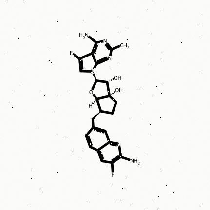 Cc1nc(N)c2c(F)cn([C@@H]3O[C@@H]4[C@H](Cc5ccc6cc(F)c(N)nc6c5)CC[C@]4(O)[C@H]3O)c2n1